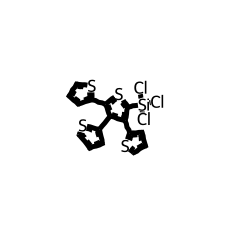 Cl[Si](Cl)(Cl)c1sc(-c2cccs2)c(-c2cccs2)c1-c1cccs1